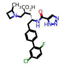 CC1CCN1C[C@H](C[C@@H](Cc1ccc(-c2cc(Cl)ccc2F)cc1)NC(=O)c1cnn[nH]1)C(=O)O